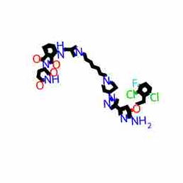 Nc1ncc(-c2cnn(C3CCN(CCCCCCCN4CC(CNc5cccc6c5C(=O)N([C@@H]5CCC(=O)NC5=O)C6=O)C4)CC3)c2)cc1OCCc1c(Cl)ccc(F)c1Cl